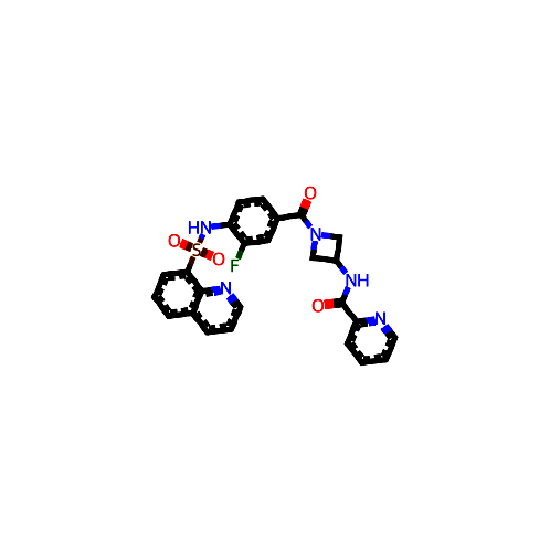 O=C(NC1CN(C(=O)c2ccc(NS(=O)(=O)c3cccc4cccnc34)c(F)c2)C1)c1ccccn1